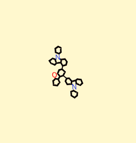 c1ccc(-n2c3ccccc3c3cc(-c4cc(-c5cccc6c5c5ccccc5n6-c5ccccc5)cc5oc6ccccc6c45)ccc32)cc1